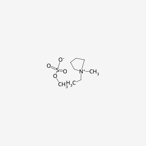 CC[N+]1(C)CCCC1.COS(=O)(=O)[O-]